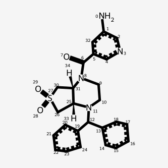 Nc1cncc(C(=O)N2CCN(C(c3ccccc3)c3ccccc3)[C@@H]3CS(=O)(=O)C[C@@H]32)c1